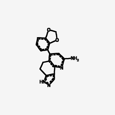 Nc1cc(-c2cccc3c2OCO3)c2c(n1)-c1cn[nH]c1CC2